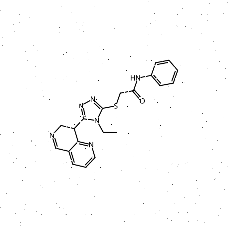 CCn1c(SCC(=O)Nc2ccccc2)nnc1C1CN=Cc2cccnc21